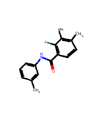 Cc1cccc(NC(=O)c2ccc(C)c(C(C)(C)C)c2F)c1